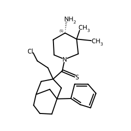 CC1(C)CN(C(=S)C2(CCCl)CC3CCCC(c4ccccc4)(C3)C2)CC[C@@H]1N